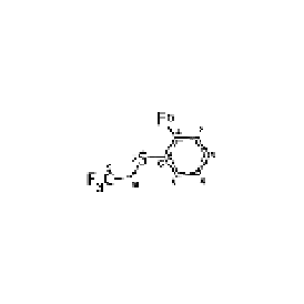 Fc1ccccc1SCC(F)(F)F